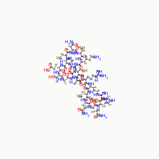 CC(C)C[C@H](NC(=O)[C@H](C)NC(=O)[C@@H](NC(=O)[C@H](CCC(=O)O)NC(=O)[C@@H]1CCCN1C(=O)[C@H](C)NC(=O)[C@H](CCCCN)NC(=O)[C@H](CS)NC(=O)[C@H](CC(N)=O)NC(=O)[C@@H](N)CS)[C@@H](C)O)C(=O)N[C@@H](CS)C(=O)N[C@@H](C)C(=O)N[C@@H](CCCNC(=N)N)C(=O)N[C@@H](CCCNC(=N)N)C(=O)N[C@@H](CS)C(=O)N[C@@H](CCC(N)=O)C(=O)N[C@@H](CCC(N)=O)C(=O)N[C@@H](Cc1c[nH]cn1)C(=O)O